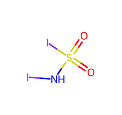 O=S(=O)(I)NI